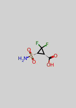 NS(=O)(=O)[C@H]1[C@@H](C(=O)O)C1(F)F